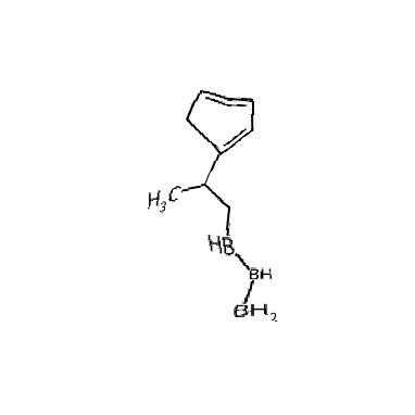 BBBCC(C)C1=CC=CC1